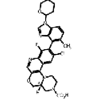 Cc1ccc2c(ncn2C2CCCCO2)c1-c1c(Cl)cc2c3c(cnc2c1F)OC[C@H]1CN(C(=O)O)CCN31